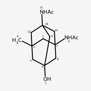 CC(=O)NC12CC3(C)CC(O)(C1)CC(NC(C)=O)(C3)C2